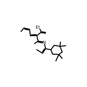 C=C(CC)C(=C\C=C/C)/C(C)=N/C(=C\C)C1CC(C)(C)CC(C)(C)C1